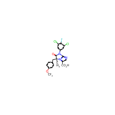 C[C@@]1(Cc2ccc(OC(F)(F)F)cc2)C(=O)N(c2cc(Cl)c(F)c(Cl)c2)c2ncc(C(=O)O)n21